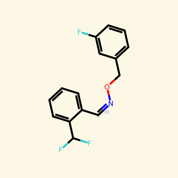 Fc1cccc(CO/N=[C]\c2ccccc2C(F)F)c1